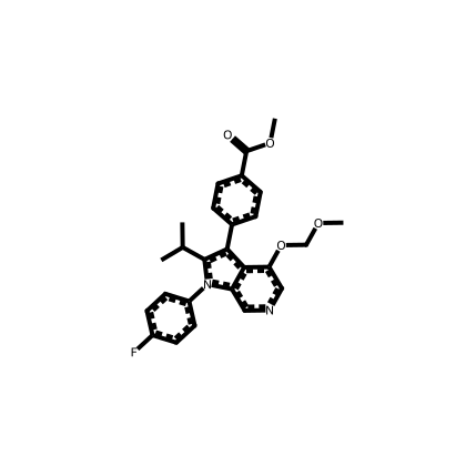 COCOc1cncc2c1c(-c1ccc(C(=O)OC)cc1)c(C(C)C)n2-c1ccc(F)cc1